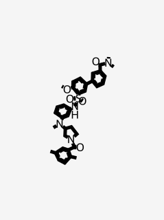 COc1ccc(-c2cccc(C(=O)N(C)C)c2)cc1S(=O)(=O)Nc1cccc(N(C)C2CCN(C(=O)c3cc(C)ccc3C)C2)c1